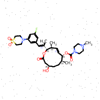 C/C(=C\c1cc(F)cc(N2CCS(=O)(=O)CC2)c1)[C@H]1OC(=O)C[C@H](O)CC[C@H](C)[C@@H](OC(=O)N2CCN(C)CC2)/C=C/[C@@H]1C